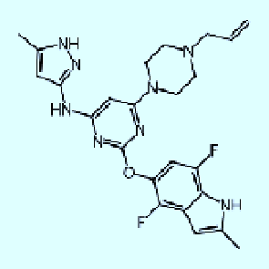 C=CCN1CCN(c2cc(Nc3cc(C)[nH]n3)nc(Oc3cc(F)c4[nH]c(C)cc4c3F)n2)CC1